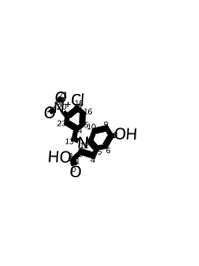 O=C(O)c1cc2cc(O)ccc2n1Cc1ccc(Cl)c([N+](=O)[O-])c1